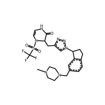 CN1CCN(Cc2ccc3c(c2)C(n2cc(CC4C(=O)NC=CN4S(=O)(=O)C(F)(F)F)nn2)CC3)CC1